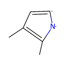 CC1=C(C)[N][C]=C1